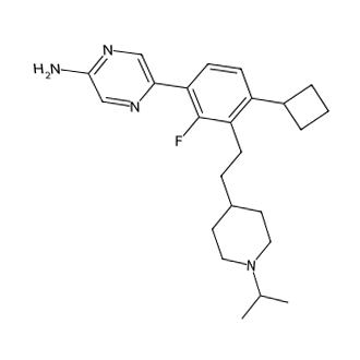 CC(C)N1CCC(CCc2c(C3CCC3)ccc(-c3cnc(N)cn3)c2F)CC1